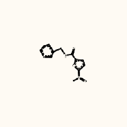 C[N+](=O)c1ccc(C(=O)NCc2cccnc2)o1